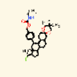 CCNC(=O)OCc1ccc(C2CC3(C)C(CF)CCC3C3CCC4CC5(CCC4=C23)OCC(C)(C)CO5)cc1